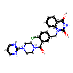 O=C(c1cc(Cn2c(=O)[nH]c(=O)c3ccccc32)ccc1Cl)N1CCN(c2ncccn2)CC1